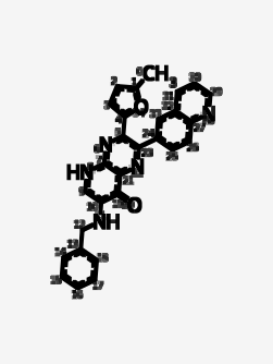 Cc1ccc(-c2nc3[nH]cc(NCc4ccccc4)c(=O)c3nc2-c2ccc3ncccc3c2)o1